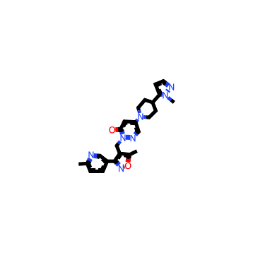 Cc1ccc(-c2noc(C)c2Cn2ncc(N3CCC(c4ccnn4C)CC3)cc2=O)cn1